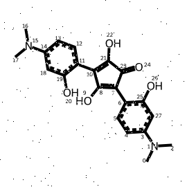 CN(C)c1ccc(C2=C(O)C(c3ccc(N(C)C)cc3O)=C(O)C2=O)c(O)c1